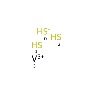 [SH-].[SH-].[SH-].[V+3]